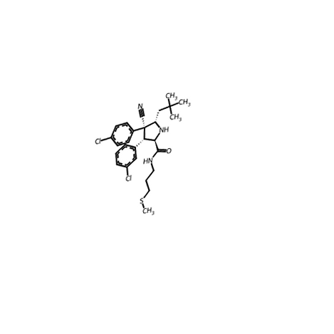 CSCCCNC(=O)[C@@H]1N[C@@H](CC(C)(C)C)[C@](C#N)(c2ccc(Cl)cc2)[C@H]1c1cccc(Cl)c1